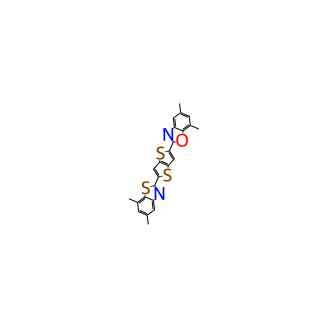 Cc1cc(C)c2oc(-c3cc4sc(-c5nc6cc(C)cc(C)c6s5)cc4s3)nc2c1